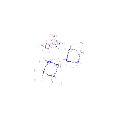 CC1=C(CCC(=O)O)c2cc3nc(cc4[nH]c(cc5[nH]c(cc1n2)c(C)c5C(C)O)c(C)c4C(C)OC(C)c1c(C)c2cc4nc(cc5nc(cc6[nH]c(cc1[nH]2)c(C)c6C(C)O)C(C)=C5CCC(=O)O)C(CCC(=O)O)=C4C)C(C)=C3CCC(=O)O.CO[C@@]12[C@H](COC(N)=O)C3=C(C(=O)C(C)=C(N)C3=O)N1C[C@H]1[C@@H]2N1C